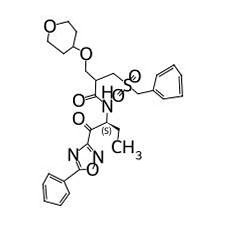 CC[C@H](NC(=O)C(COC1CCOCC1)CS(=O)(=O)Cc1ccccc1)C(=O)c1noc(-c2ccccc2)n1